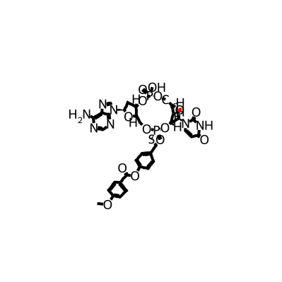 COc1ccc(C(=O)Oc2ccc(CS[P@]3(=O)OC[C@H]4O[C@@H](n5cnc6c(N)ncnc65)C[C@@H]4OP(=O)(O)OC[C@H]4O[C@@H](n5ccc(=O)[nH]c5=O)[C@H](O3)[C@@H]4F)cc2)cc1